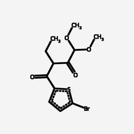 CCC(C(=O)c1ccc(Br)s1)C(=O)C(OC)OC